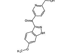 COc1ccc2c(C(=O)c3ccc(CO)nc3)n[nH]c2c1